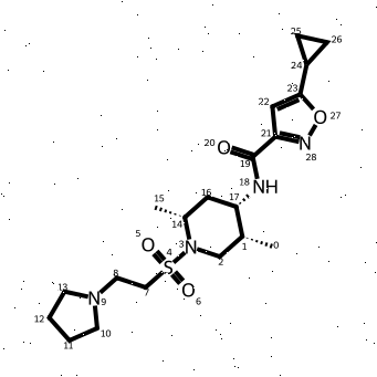 C[C@@H]1CN(S(=O)(=O)CCN2CCCC2)[C@H](C)C[C@@H]1NC(=O)c1cc(C2CC2)on1